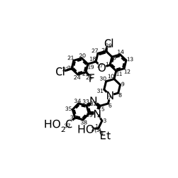 CC[C@H](O)Cn1c(CN2CCC(c3cccc4c3OC(c3ccc(Cl)cc3F)C=C4Cl)CC2)nc2ccc(C(=O)O)cc21